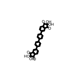 O=C1c2ccc(-c3ccc(-c4ccc(-c5ccc6c(c5)C(=O)C(O)(O)C6=O)cc4)cc3)cc2C(=O)C1(O)O